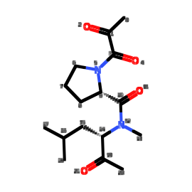 CC(=O)C(=O)N1CCC[C@H]1C(=O)N(C)[C@@H](CC(C)C)C(C)=O